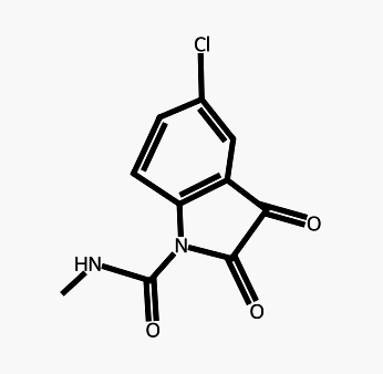 CNC(=O)N1C(=O)C(=O)c2cc(Cl)ccc21